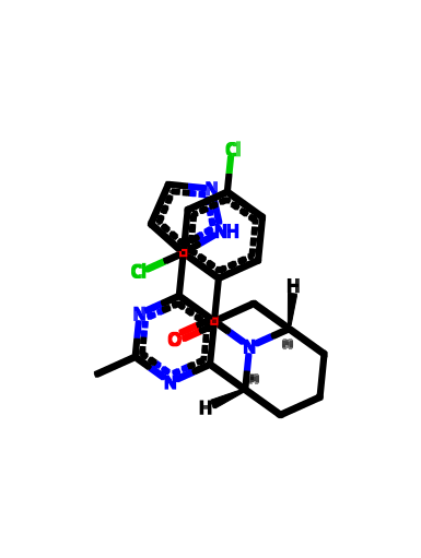 Cc1nc(-c2ccn[nH]2)c2c(n1)[C@H]1CCC[C@@H](C2)N1C(=O)c1ccc(Cl)cc1Cl